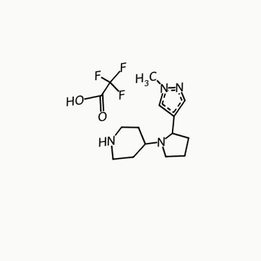 Cn1cc(C2CCCN2C2CCNCC2)cn1.O=C(O)C(F)(F)F